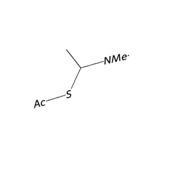 C[N]C(C)SC(C)=O